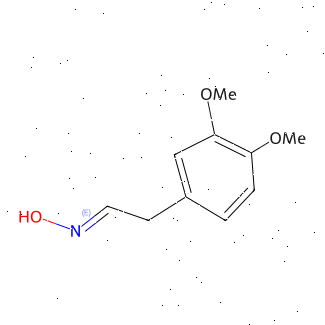 COc1ccc(C/C=N/O)cc1OC